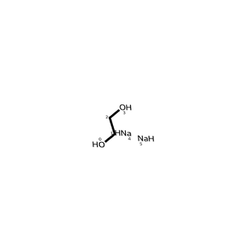 OCCO.[NaH].[NaH]